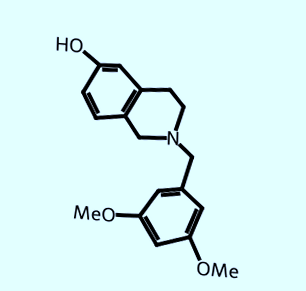 COc1cc(CN2CCc3cc(O)ccc3C2)cc(OC)c1